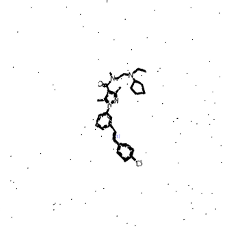 CCN(CCN(C)C(=O)c1c(C)nn(-c2cccc(/C=C/c3ccc(Cl)cc3)c2)c1C)C1CCCC1